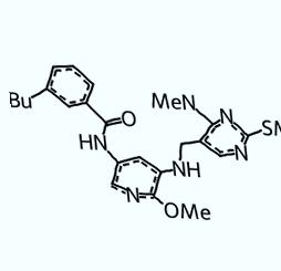 CNc1nc(SC)ncc1CNc1cc(NC(=O)c2cccc(C(C)(C)C)c2)cnc1OC